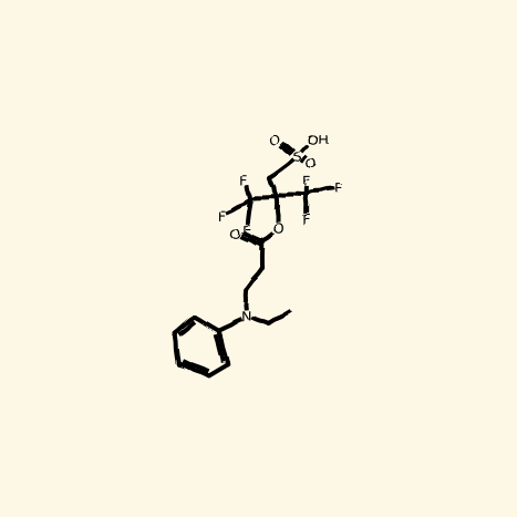 CCN(CCC(=O)OC(CS(=O)(=O)O)(C(F)(F)F)C(F)(F)F)c1ccccc1